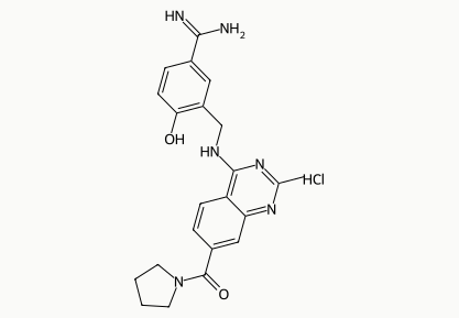 Cc1nc(NCc2cc(C(=N)N)ccc2O)c2ccc(C(=O)N3CCCC3)cc2n1.Cl